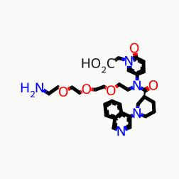 NCCOCCOCCOCCN(C(=O)[C@H]1CCCN(c2cncc3ccccc23)C1)c1ccc(=O)n(CC(=O)O)c1